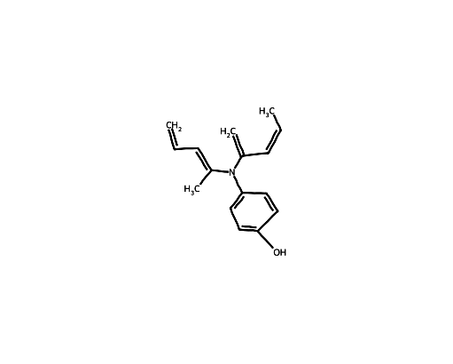 C=C/C=C(\C)N(C(=C)/C=C\C)c1ccc(O)cc1